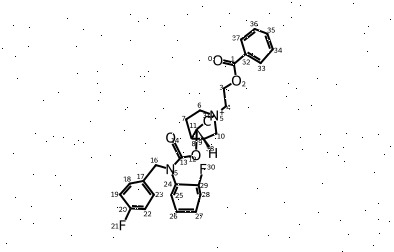 O=C(OCC[N+]12CCC(CC1)[C@@H](OC(=O)N(Cc1ccc(F)cc1)c1ccccc1F)C2)c1ccccc1